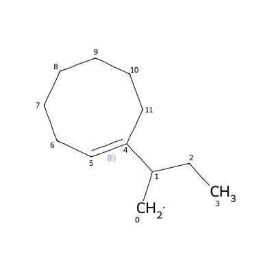 [CH2]C(CC)/C1=C/CCCCCC1